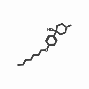 CCCCCCCOc1ccc(C2(O)CCN(C)CC2)cc1